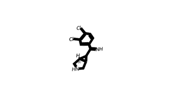 N=C(c1ccc(Cl)c(Cl)c1)C1C2CNC[C@H]21